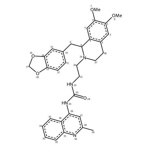 COc1cc2c(cc1OC)C(Cc1ccc3c(c1)OCO3)N(CCNC(=O)Nc1cc(C)nc3ccccc13)CC2